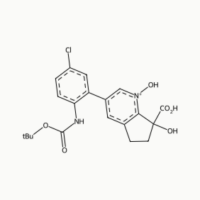 CC(C)(C)OC(=O)Nc1ccc(Cl)cc1-c1cc2c([n+](O)c1)C(O)(C(=O)O)CC2